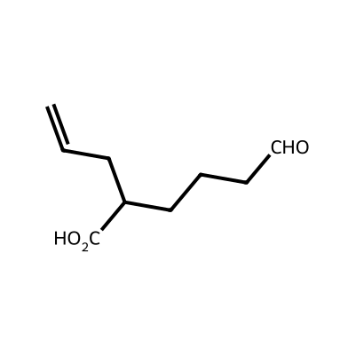 C=CCC(CCCC=O)C(=O)O